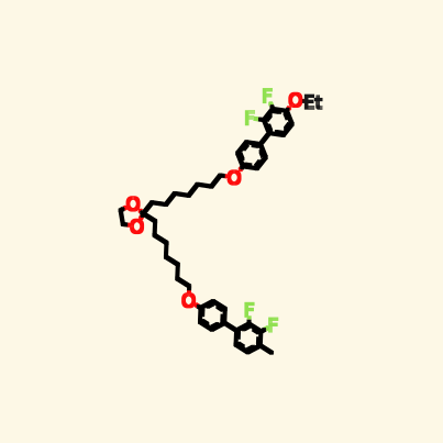 CCOc1ccc(-c2ccc(OCCCCCCCC3(CCCCCCCOc4ccc(-c5ccc(C)c(F)c5F)cc4)OCCO3)cc2)c(F)c1F